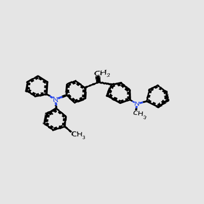 C=C(c1ccc(N(C)c2ccccc2)cc1)c1ccc(N(c2ccccc2)c2cccc(C)c2)cc1